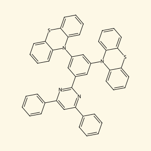 c1ccc(-c2cc(-c3ccccc3)nc(-c3cc(N4c5ccccc5Sc5ccccc54)cc(N4c5ccccc5Sc5ccccc54)c3)n2)cc1